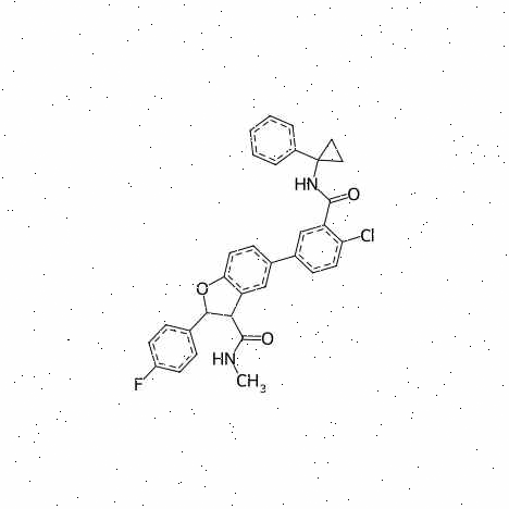 CNC(=O)C1c2cc(-c3ccc(Cl)c(C(=O)NC4(c5ccccc5)CC4)c3)ccc2OC1c1ccc(F)cc1